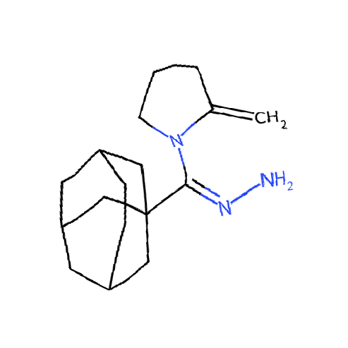 C=C1CCCN1/C(=N\N)C12CC3CC(CC(C3)C1)C2